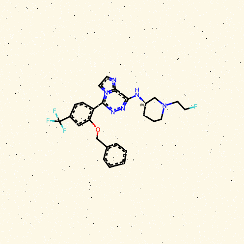 FCCN1CCC[C@@H](Nc2nnc(-c3ccc(C(F)(F)F)cc3OCc3ccccc3)n3ccnc23)C1